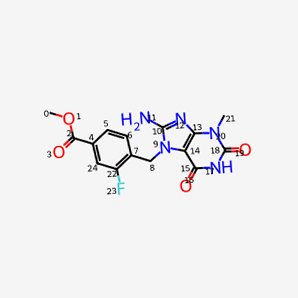 COC(=O)c1ccc(Cn2c(N)nc3c2c(=O)[nH]c(=O)n3C)c(F)c1